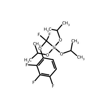 CC(C)O[Si](OC(C)C)(OC(C)C)C(F)(F)Oc1ccc(F)c(F)c1F